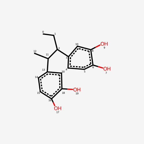 CCC(c1ccc(O)c(O)c1)C(C)c1ccc(O)c(O)c1